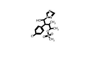 CC(OS(C)(=O)=O)C(C)C(c1ccc(Cl)cc1)C(O)n1cncn1